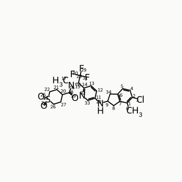 Cc1c(Cl)ccc2c1CC(Nc1ccc([C@H](N(C)C(=O)C3CCS(=O)(=O)CC3)C(F)(F)F)nc1)C2